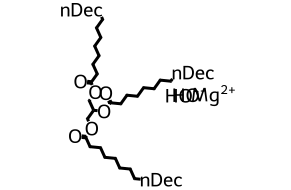 CCCCCCCCCCCCCCCCCC(=O)OCC(COC(=O)CCCCCCCCCCCCCCCCC)OC(=O)CCCCCCCCCCCCCCCCC.[Mg+2].[OH-].[OH-]